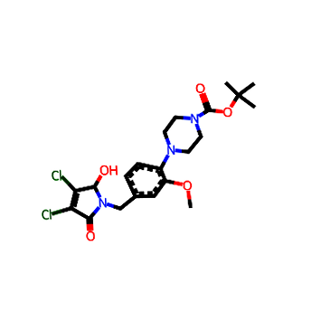 COc1cc(CN2C(=O)C(Cl)=C(Cl)C2O)ccc1N1CCN(C(=O)OC(C)(C)C)CC1